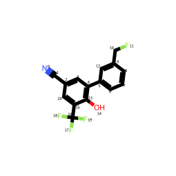 N#Cc1cc(-c2cccc(CF)c2)c(O)c(C(F)(F)F)c1